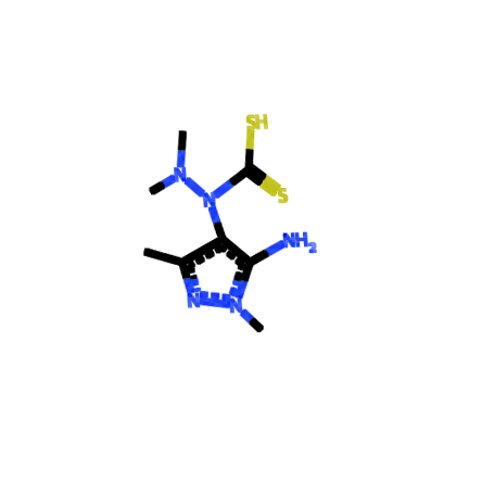 Cc1nn(C)c(N)c1N(C(=S)S)N(C)C